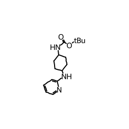 CC(C)(C)OC(=O)NC1CCC(Nc2ccccn2)CC1